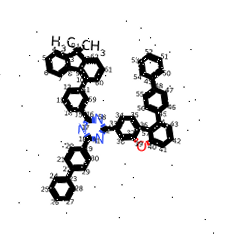 CC1(C)c2ccccc2-c2c(-c3cccc(-c4nc(-c5ccc(-c6ccccc6)cc5)nc(-c5ccc6c(c5)oc5cccc(-c7ccc(-c8ccccc8)cc7)c56)n4)c3)cccc21